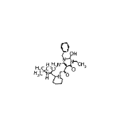 CCN1C(=O)C(C(=O)CN2CCCCC2C(=O)NC(C)(C)C)=C(N)N(Cc2ccccc2)C1O